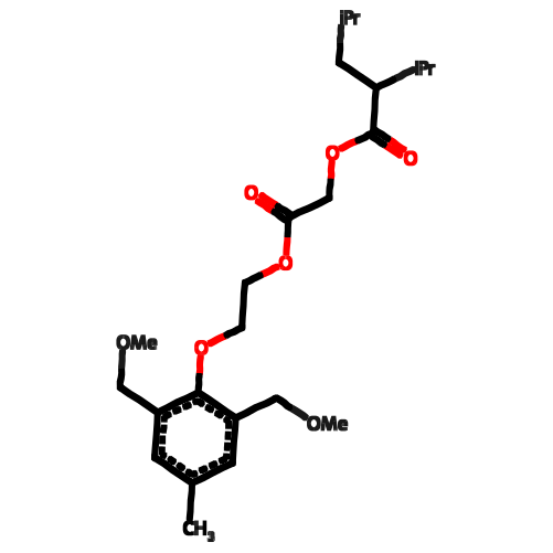 COCc1cc(C)cc(COC)c1OCCOC(=O)COC(=O)C(CC(C)C)C(C)C